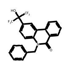 O=c1c2ccccc2c2cc(C(O)(C(F)(F)F)C(F)(F)F)ccc2n1Cc1ccccc1